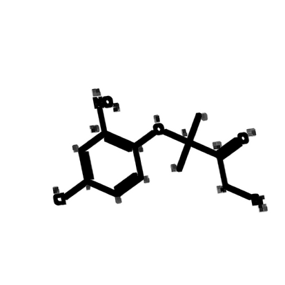 CC(C)(Oc1ccc(Cl)cc1[N+](=O)[O-])C(=O)CBr